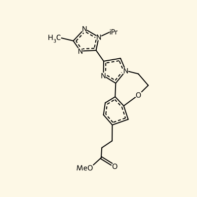 COC(=O)CCc1ccc2c(c1)OCCn1cc(-c3nc(C)nn3C(C)C)nc1-2